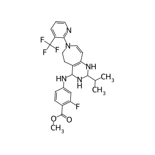 COC(=O)c1ccc(NC2NC(C(C)C)NC3=C2CCN(c2ncccc2C(F)(F)F)C=C3)cc1F